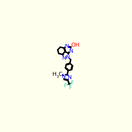 Cn1cc(C(F)(F)F)nc1-c1ccc(Cn2nc3c4c(nc(O)nc42)CCC3)cc1